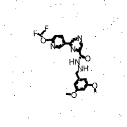 COc1cc(CNNC(=O)c2cncc(-c3ccc(OC(F)F)nc3)n2)cc(OC)c1